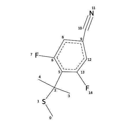 CSC(C)(C)c1c(F)cc(C#N)cc1F